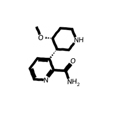 CO[C@@H]1CCNC[C@@H]1c1cccnc1C(N)=O